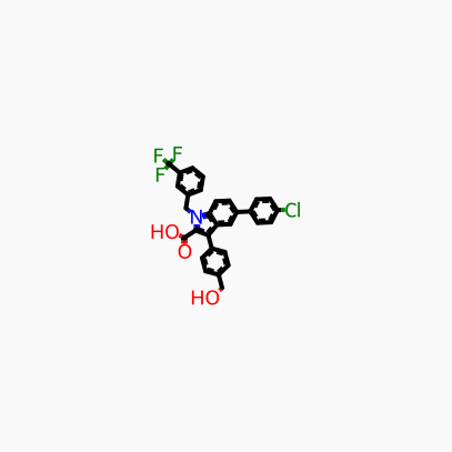 O=C(O)c1c(-c2ccc(CO)cc2)c2cc(-c3ccc(Cl)cc3)ccc2n1Cc1cccc(C(F)(F)F)c1